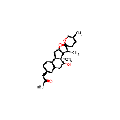 CCCCC(=O)/C=C1/CCC2C(C1)C[C@H](O)[C@@]1(C)C2CC2OC3(CCC(C)CO3)[C@@H](C)C21